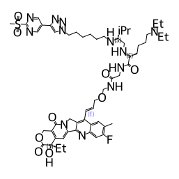 CCN(CC)CCCC[C@H](NC[C@@H](NCCCCCCn1cc(-c2cnc(S(C)(=O)=O)nc2)nn1)C(C)C)C(=O)NCC(=O)NCOC/C=C/c1c2c(nc3cc(F)c(C)cc13)-c1cc3c(c(=O)n1C2)COC(=O)[C@]3(O)CC